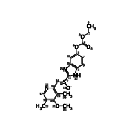 CCOC(=O)Oc1ccc2[nH]c([S+]([O-])Cc3ncc(C)c(OC)c3C)nc2c1